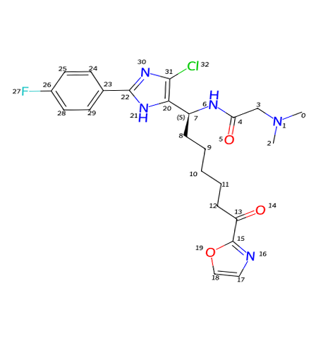 CN(C)CC(=O)N[C@@H](CCCCCC(=O)c1ncco1)c1[nH]c(-c2ccc(F)cc2)nc1Cl